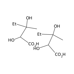 CCC(C)(O)C(O)C(=O)O.CCC(C)(O)C(O)C(=O)O